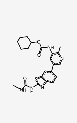 CNC(=O)Nc1nc2ccc(-c3cnc(C)c(NC(=O)OC4CCCCC4)c3)cc2s1